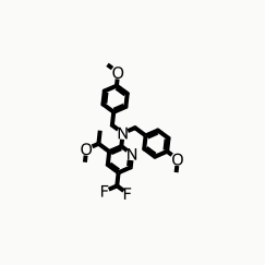 COc1ccc(CN(Cc2ccc(OC)cc2)c2ncc(C(F)F)cc2C(C)OC)cc1